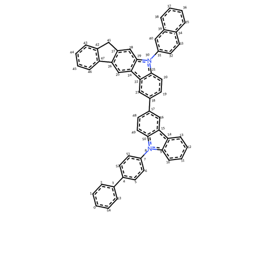 c1ccc(-c2ccc(-n3c4ccccc4c4cc(-c5ccc6c(c5)c5cc7c(cc5n6-c5ccc6ccccc6c5)Cc5ccccc5-7)ccc43)cc2)cc1